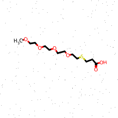 COCCOCCOCCOCCSCCC(=O)O